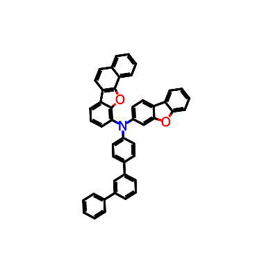 c1ccc(-c2cccc(-c3ccc(N(c4ccc5c(c4)oc4ccccc45)c4cccc5c4oc4c6ccccc6ccc54)cc3)c2)cc1